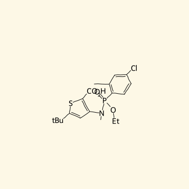 CCOP(=O)(c1ccc(Cl)cc1C)N(C)c1cc(C(C)(C)C)sc1C(=O)O